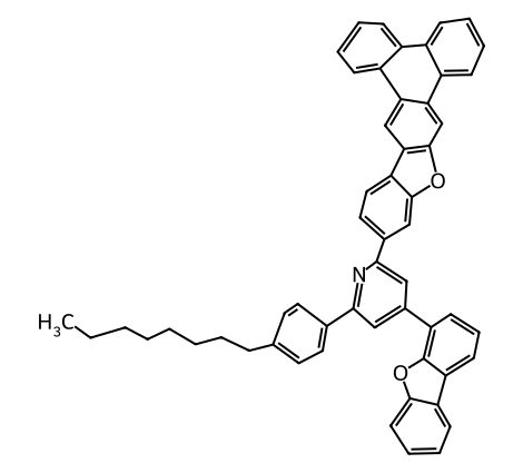 CCCCCCCCc1ccc(-c2cc(-c3cccc4c3oc3ccccc34)cc(-c3ccc4c(c3)oc3cc5c6ccccc6c6ccccc6c5cc34)n2)cc1